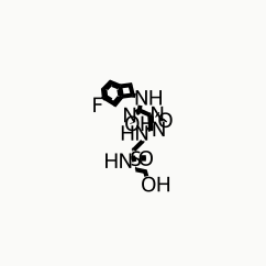 N=[S@@](=O)(CCO)CCNc1nonc1C(=NO)NC1Cc2ccc(F)cc21